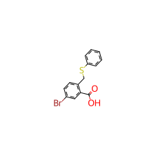 O=C(O)c1cc(Br)ccc1CSc1ccccc1